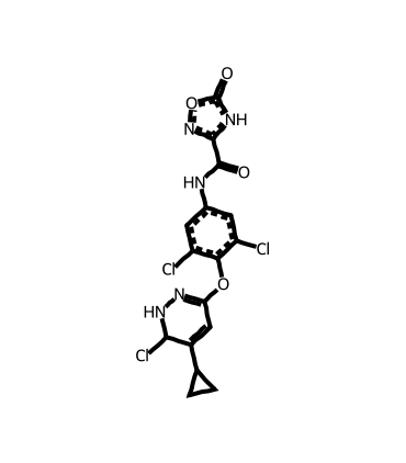 O=C(Nc1cc(Cl)c(OC2=NNC(Cl)C(C3CC3)=C2)c(Cl)c1)c1noc(=O)[nH]1